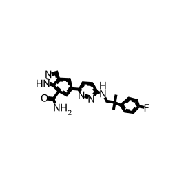 CC(C)(CNc1ccc(-c2cc(C(N)=O)c3[nH]ncc3c2)nn1)c1ccc(F)cc1